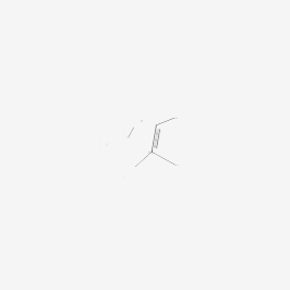 FC=C(F)F.O=C(O)O